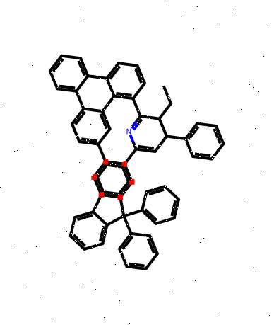 CCC1C(c2cccc3c4ccccc4c4ccc(-c5ccc6c(c5)-c5ccccc5C6(c5ccccc5)c5ccccc5)cc4c23)=NC(c2ccccc2)=CC1c1ccccc1